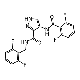 O=C(NCc1c(F)cccc1F)c1n[nH]cc1NC(=O)c1c(F)cccc1F